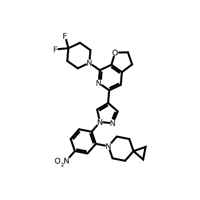 O=[N+]([O-])c1ccc(-n2cc(-c3cc4c(c(N5CCC(F)(F)CC5)n3)OCC4)cn2)c(N2CCC3(CC2)CC3)c1